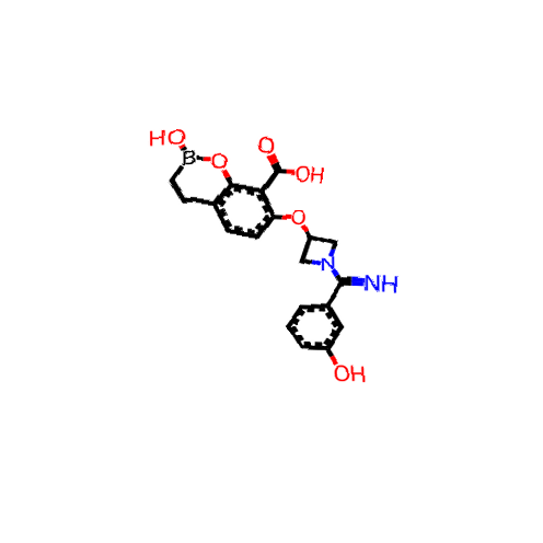 N=C(c1cccc(O)c1)N1CC(Oc2ccc3c(c2C(=O)O)OB(O)CC3)C1